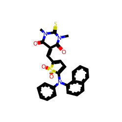 CN1C(=O)C(=CC2=CC=C(N(c3ccccc3)c3cccc4ccccc34)S2(=O)=O)C(=O)N(C)C1=S